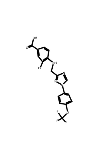 O=C(O)c1ccc(NCc2ncn(-c3ccc(OC(F)(F)F)cc3)n2)c(Cl)c1